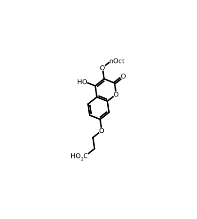 CCCCCCCCOc1c(O)c2ccc(OCCC(=O)O)cc2oc1=O